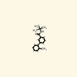 Cc1ccccc1-c1cccc(C(=O)NC(C)(C)C)c1